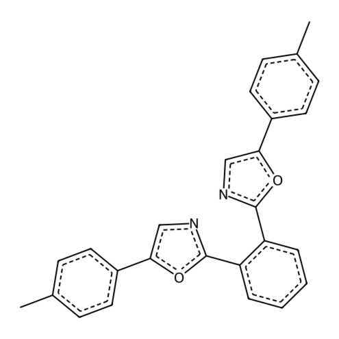 Cc1ccc(-c2cnc(-c3ccccc3-c3ncc(-c4ccc(C)cc4)o3)o2)cc1